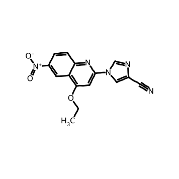 CCOc1cc(-n2cnc(C#N)c2)nc2ccc([N+](=O)[O-])cc12